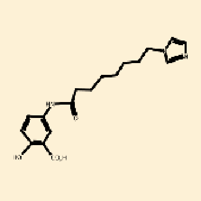 O=C(CCCCCCCn1ccnc1)Nc1ccc(O)c(C(=O)O)c1